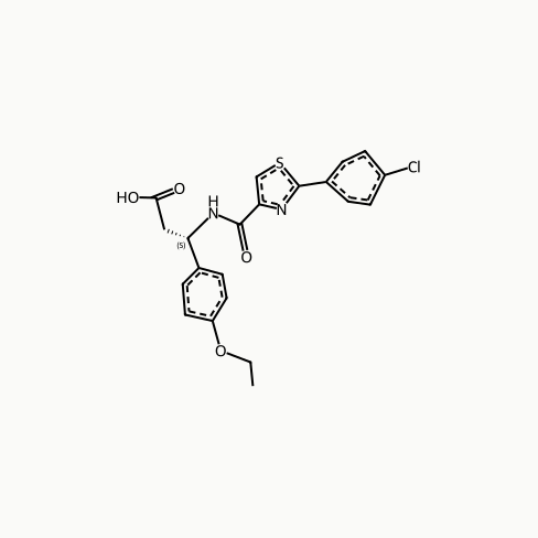 CCOc1ccc([C@H](CC(=O)O)NC(=O)c2csc(-c3ccc(Cl)cc3)n2)cc1